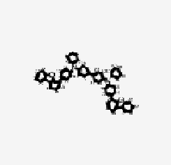 C1=CC(N(c2ccccc2)c2ccc(-c3cccc4c3oc3ccccc34)cc2)CCC1c1ccc(N(C2=CC=C(c3cccc4c3oc3ccccc34)CC2)c2ccccc2)cc1